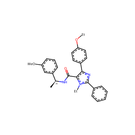 CCOc1ccc(-c2nc(-c3ccccc3)n(CC)c2C(=O)N[C@@H](C)c2cccc(OC)c2)cc1